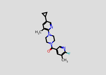 Cc1cc(C(=O)N2CCN(c3ncc(C4CC4)cc3C)CC2)cnc1F